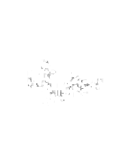 CSCC[C@H](NC(=O)[C@H](CCCNC(=N)N)NC(=O)CNC(=O)[C@@H](N)CC(C)C)C(=O)NCC(=O)N[C@@H](CC(C)C)C(=O)N1CCC[C@H]1C(=O)NCC(=O)O